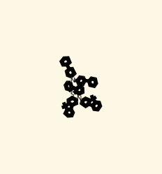 CC1(C)c2ccccc2-c2cc(N(c3ccc4c(c3)C(C)(C)c3ccccc3-4)c3cccc4c3sc3cccc(N(c5ccc(-c6ccccc6)cc5)c5ccc(-c6ccccc6)cc5)c34)ccc21